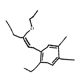 CCOC(=Cc1cc(C)c(C)cc1CC)CC